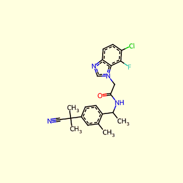 Cc1cc(C(C)(C)C#N)ccc1C(C)NC(=O)Cn1cnc2ccc(Cl)c(F)c21